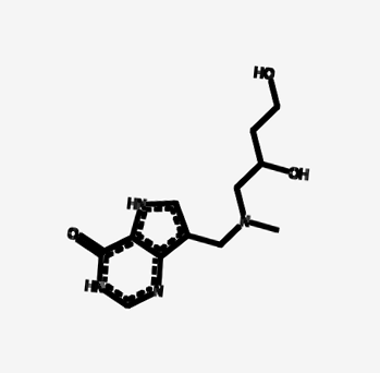 CN(Cc1c[nH]c2c(=O)[nH]cnc12)CC(O)CCO